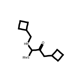 CSC(NCC1CCC1)C(=O)CC1CCC1